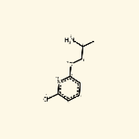 CC(N)COc1cccc(Cl)n1